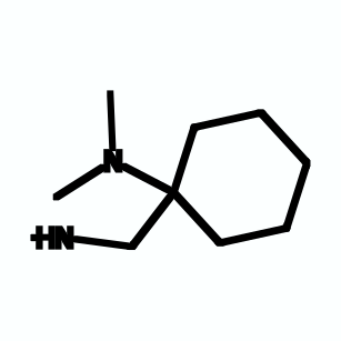 CN(C)C1(C[NH])CCCCC1